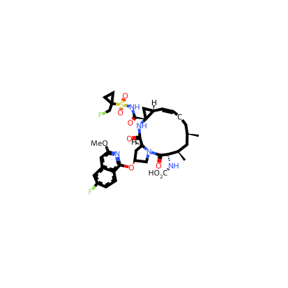 COc1cc2cc(F)ccc2c(O[C@@H]2C[C@H]3C(=O)N[C@]4(C(=O)NS(=O)(=O)C5(CF)CC5)C[C@H]4C=CCC[C@@H](C)C[C@@H](C)[C@H](NC(=O)O)C(=O)N3C2)n1